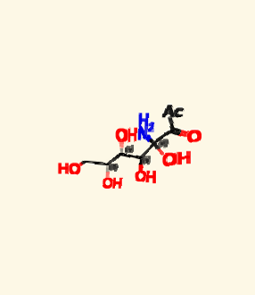 CC(=O)C(=O)[C@](N)(O)[C@@H](O)[C@@H](O)[C@H](O)CO